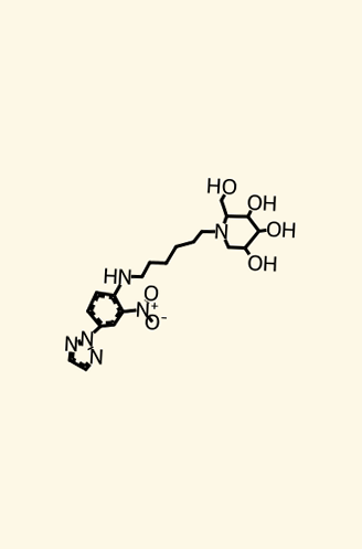 O=[N+]([O-])c1cc(-n2nccn2)ccc1NCCCCCCN1CC(O)C(O)C(O)C1CO